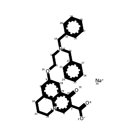 O=C([O-])c1cn2c3c(cc(OCCN(Cc4ccccc4)Cc4ccccc4)cc3c1=O)CCC2.[Na+]